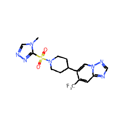 Cn1cnnc1S(=O)(=O)N1CCC(c2cn3ncnc3cc2C(F)(F)F)CC1